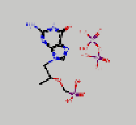 CC(Cn1cnc2c(=O)[nH]c(N)nc21)OCP(=O)(O)O.O=P(O)(O)OP(=O)(O)O